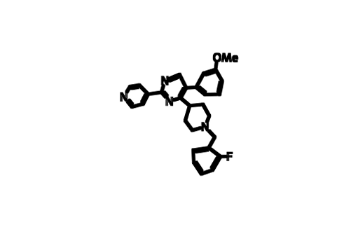 COc1cccc(-c2cnc(-c3ccncc3)nc2C2CCN(Cc3ccccc3F)CC2)c1